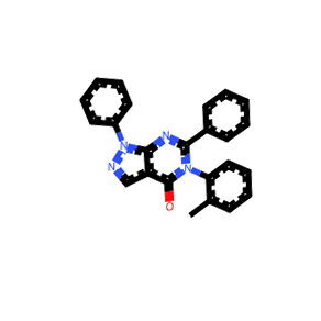 Cc1ccccc1-n1c(-c2ccccc2)nc2c(cnn2-c2ccccc2)c1=O